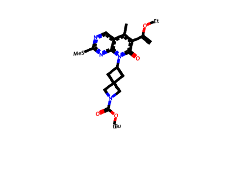 C=C(OCC)c1c(C)c2cnc(SC)nc2n(C2CC3(C2)CN(C(=O)OC(C)(C)C)C3)c1=O